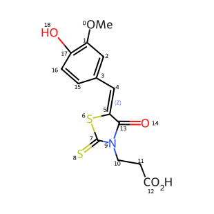 COc1cc(/C=C2\SC(=S)N(CCC(=O)O)C2=O)ccc1O